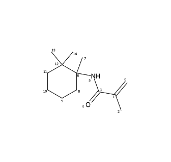 C=C(C)C(=O)NC1(C)CCCCC1(C)C